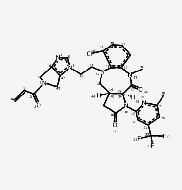 C=CC(=O)N1Cc2ncn(CCN3C[C@H]4CC(=O)N(c5cc(C(F)(F)F)cc(C)n5)[C@@H]4C(=O)N(C)c4cccc(Cl)c43)c2C1